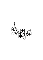 CC#Cc1cnc([C@@H](OC)[C@H](C)[S+]([O-])Nc2nnc(-c3cncc(C)c3)n2-c2c(OC)cccc2OC)nc1